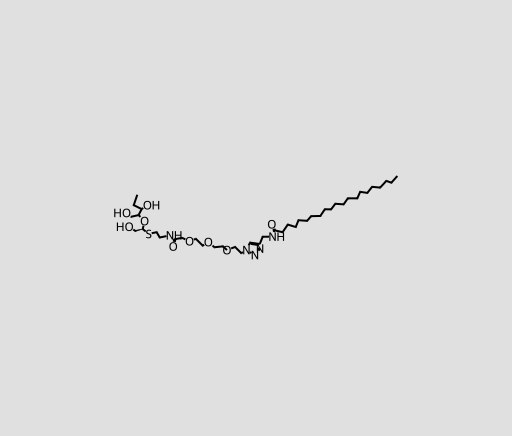 CCCCCCCCCCCCCCCCCCCCC(=O)NCc1cn(CCOCCOCCOCC(=O)NCCS[C@@H](CO)OC(CO)C(O)CC)nn1